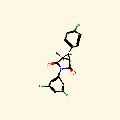 C[C@]12C(=O)N(c3cc(Cl)cc(Cl)c3)C(=O)C1[C@@H]2c1ccc(Br)cc1